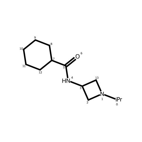 CC(C)N1CC(NC(=O)C2CCCCC2)C1